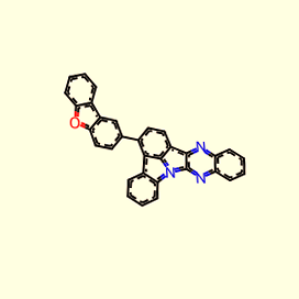 c1ccc2nc3c(nc2c1)c1ccc(-c2ccc4oc5ccccc5c4c2)c2c4ccccc4n3c12